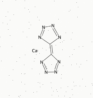 N1=NC(=C2N=NN=N2)N=N1.[Ca]